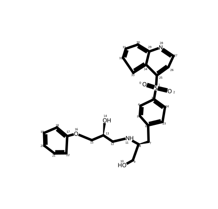 O=S(=O)(c1ccc(C[C@@H](CO)NC[C@H](O)COc2ccccc2)cc1)c1ccnc2ccccc12